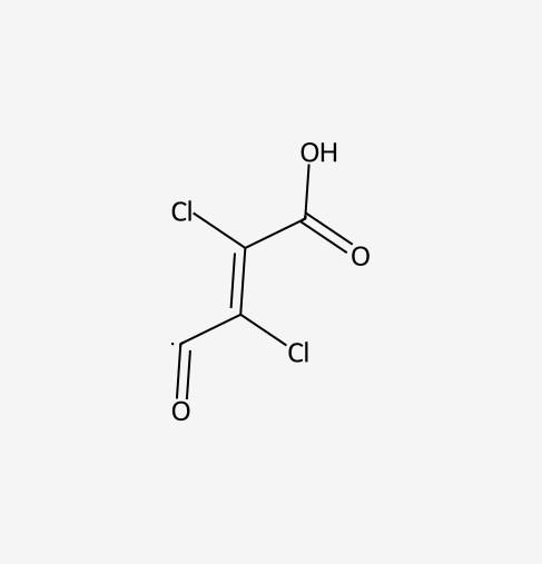 O=[C]/C(Cl)=C(\Cl)C(=O)O